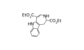 CCOC(=O)C1=CNC(C(=O)OCC)Cc2c1[nH]c1ccccc21